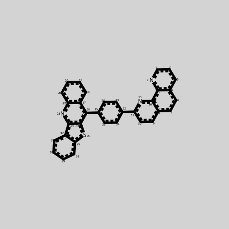 c1cnc2c(c1)ccc1ccc(-c3ccc(-c4c5ccccc5nc5c4sc4ccccc45)cc3)nc12